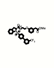 COC(=O)Cc1cccc(OCCNC(=O)[C@@H]2Cc3ccccc3N2S(=O)(=O)c2ccc(-c3cccc(C(F)(F)F)c3)cc2)c1